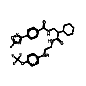 Cc1nc(-c2ccc(C(=O)NCC(C(=O)NCCNc3ccc(OC(F)(F)F)cc3)C3CCCCC3)cc2)no1